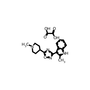 Cc1[nH]c2ccccc2c1-c1noc(C2CCN(C)CC2)n1.O=C(O)C(=O)O